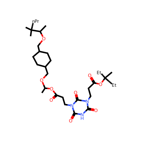 CCCC(C)(C)C(C)OCC1CCC(COC(C)OC(=O)CCn2c(=O)[nH]c(=O)n(CCC(=O)OC(C)(CC)CC)c2=O)CC1